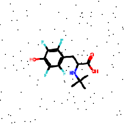 CC(C)(C)NC(Cc1c(F)c(F)c(O)c(F)c1F)C(=O)O